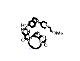 COCCN1CCC(n2ccc3cc(Nc4ncc5c(=O)n6n(c5n4)-c4cnc5c(c4)N(CCC/C=C\C6)C(=O)CO5)ccc32)CC1